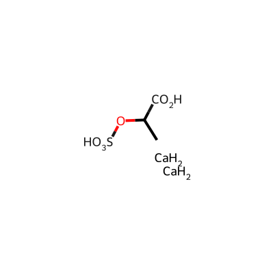 CC(OS(=O)(=O)O)C(=O)O.[CaH2].[CaH2]